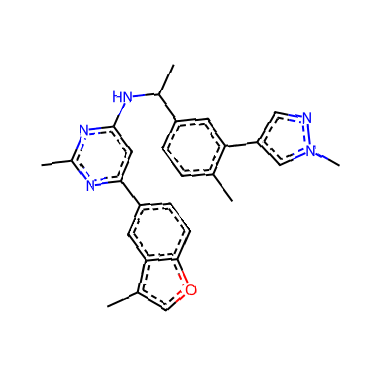 Cc1nc(NC(C)c2ccc(C)c(-c3cnn(C)c3)c2)cc(-c2ccc3occ(C)c3c2)n1